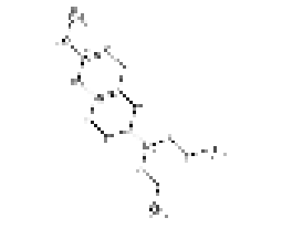 CCCN(CCC)C1CCC2=C(CC=C(OC)C2)C1